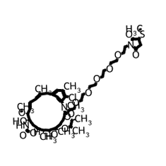 CO[C@@H]1/C=C/C=C(\C)Cc2cc(C)c(Cl)c(c2)N(C)C(=O)CC(OC(C)[C@H](C)OCCOCCOCCOCCOCCOCCN2C(=O)CC(SC)C2=O)[C@]2(C)O[C@H]2[C@H](C)[C@@H]2C[C@@]1(O)NC(=O)O2